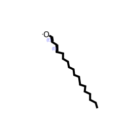 CCCCCCCCCCCCCC/C=C/C=C/[O]